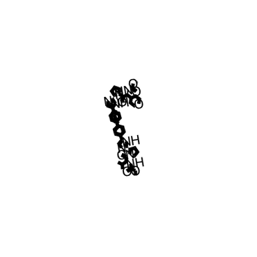 COC(=O)N[C@H](C(=O)N1CCC[C@H]1c1ncc(-c2ccc(C34CCC(c5cnc([C@@H]6CCCN6C(=O)[C@@H](NC(=O)OC)C6CCOCC6)[nH]5)(CC3)CC4)cc2)[nH]1)C(C)C